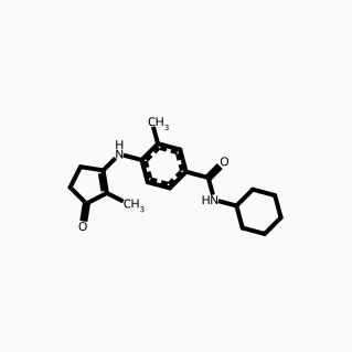 CC1=C(Nc2ccc(C(=O)NC3CCCCC3)cc2C)CCC1=O